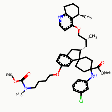 COC(=O)C1(Nc2cccc(Cl)c2)CCC2(CC1)c1cc(OCCCCN(C)C(=O)OC(C)(C)C)ccc1C[C@@H]2C[C@@H](C)COc1ccnc2c1[C@H](C)CCC2